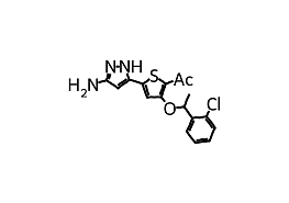 CC(=O)c1sc(-c2cc(N)n[nH]2)cc1OC(C)c1ccccc1Cl